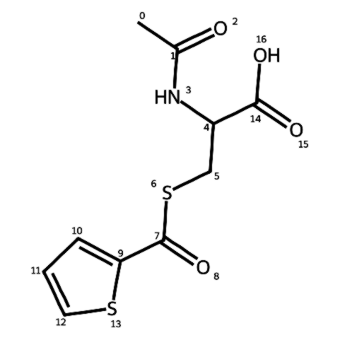 CC(=O)NC(CSC(=O)c1cccs1)C(=O)O